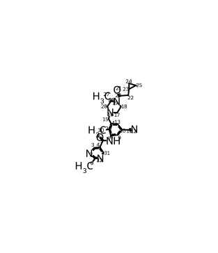 Cc1ncc(C(=O)Nc2cc(C#N)cc(CN3CCN(C(=O)CC4CC4)[C@@H](C)C3)c2C)cn1